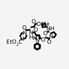 CCOC(=O)N1CCN(C(=O)[C@H](CCC(=O)OC)NC(=O)c2cc(OCC(=O)N3CCC[C@H]3C(=O)NC3CCC3)n(-c3ccccc3)n2)CC1